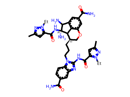 CCn1nc(C)cc1C(=O)Nc1nc2cc(C(N)=O)ccc2n1CCC[C@@H]1COc2cc(C(N)=O)cc3c2C1[C@@](N)(NC(=O)c1cc(C)nn1CC)C3N